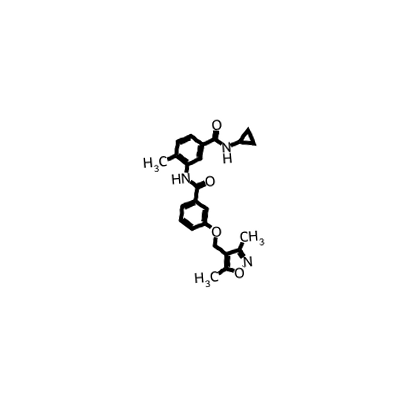 Cc1ccc(C(=O)NC2CC2)cc1NC(=O)c1cccc(OCc2c(C)noc2C)c1